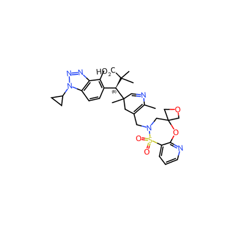 CC1=C(CN2CC3(COC3)Oc3ncccc3S2(=O)=O)CC(C)([C@@H](c2ccc3c(nnn3C3CC3)c2C)C(C)(C)C(=O)O)C=N1